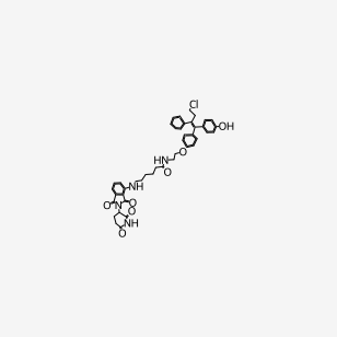 O=C(CCCCCNc1cccc2c1C(=O)N(C1CCC(=O)NC1=O)C2=O)NCCOc1ccc(C(=C(CCCl)c2ccccc2)c2ccc(O)cc2)cc1